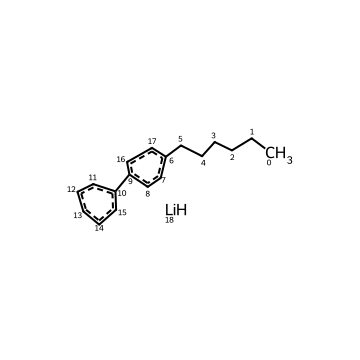 CCCCCCc1ccc(-c2ccccc2)cc1.[LiH]